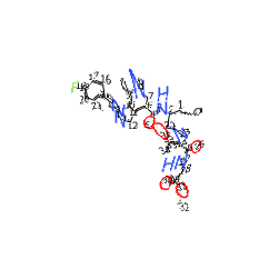 CCC(NC(=O)c1cncc2c1cnn2-c1ccc(F)cc1)c1nc(C(=O)NCC(=O)OC)c(C)o1